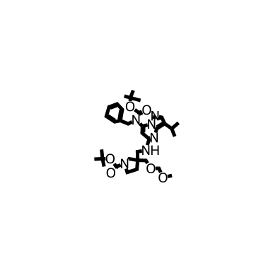 COCOCC1(CNc2cc(N(Cc3ccccc3)C(=O)OC(C)(C)C)n3ncc(C(C)C)c3n2)CCN(C(=O)OC(C)(C)C)C1